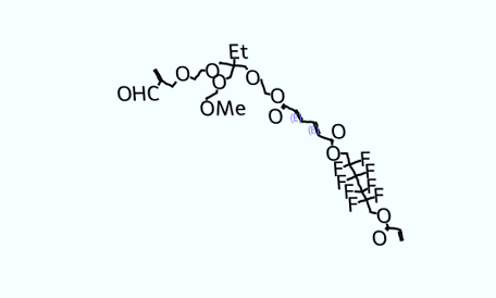 C=CC(=O)OCC(F)(F)C(F)(F)C(F)(F)C(F)(F)COC(=O)/C=C/C=C/C(=O)OCCOCC(CC)(COCCOC)COCCOCC(=C)C=O